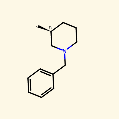 [CH2][C@H]1CCCN(Cc2ccccc2)C1